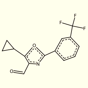 O=Cc1nc(-c2cccc(C(F)(F)F)c2)oc1C1CC1